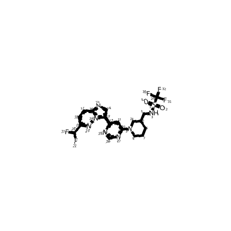 O=S(=O)(NCC1CCCN(c2cc(-c3cnc4ccc(C(F)F)nn34)ncn2)C1)C(F)(F)F